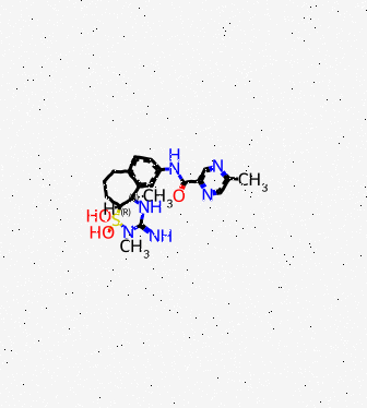 Cc1cnc(C(=O)Nc2ccc3c(c2)[C@@]2(C)NC(=N)N(C)S(O)(O)[C@@H]2CCC3)cn1